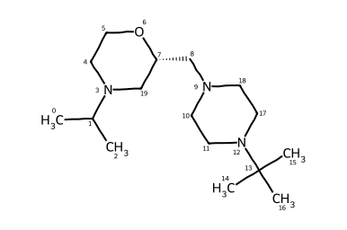 CC(C)N1CCO[C@H](CN2CCN(C(C)(C)C)CC2)C1